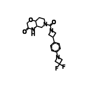 O=C1COC2CCN(C(=O)N3CC(c4ccc(N5CC(F)(F)C5)cc4)C3)CC2N1